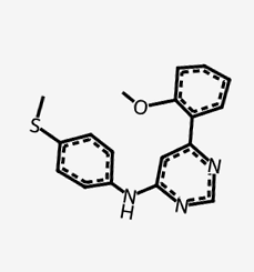 COc1ccccc1-c1cc(Nc2ccc(SC)cc2)ncn1